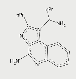 CCCc1nc2c(N)nc3ccccc3c2n1C(N)CCC